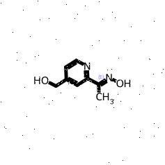 C/C(=N\O)c1cc(CO)ccn1